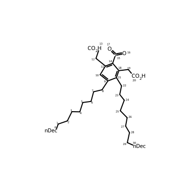 CCCCCCCCCCCCCCCCCCc1cc(CC(=O)O)c(I(=O)=O)c(CC(=O)O)c1CCCCCCCCCCCCCCCCCC